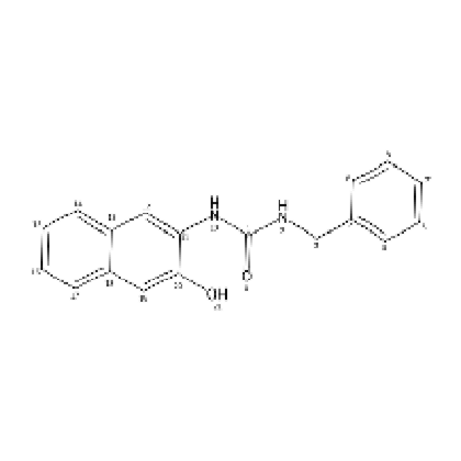 O=C(NCc1ccccc1)Nc1cc2ccccc2cc1O